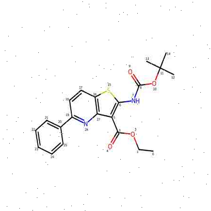 CCOC(=O)c1c(NC(=O)OC(C)(C)C)sc2ccc(-c3ccccc3)nc12